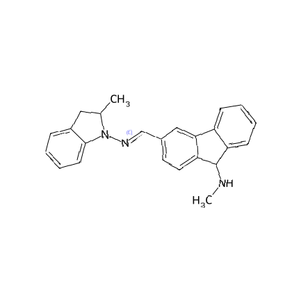 CNC1c2ccccc2-c2cc(/C=N/N3c4ccccc4CC3C)ccc21